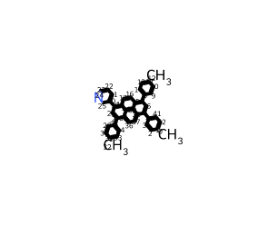 Cc1ccc(-c2cc(-c3ccc(C)cc3)c3ccc4c(-c5cccnc5)cc(-c5ccc(C)cc5)c5ccc2c3c54)cc1